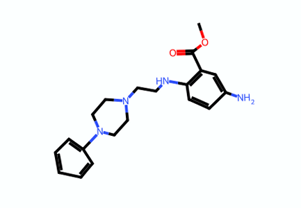 COC(=O)c1cc(N)ccc1NCCN1CCN(c2ccccc2)CC1